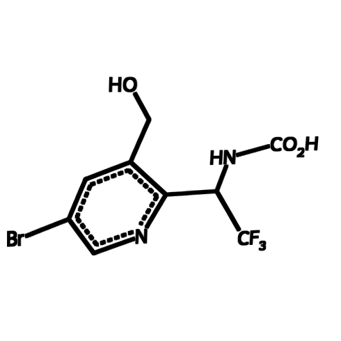 O=C(O)NC(c1ncc(Br)cc1CO)C(F)(F)F